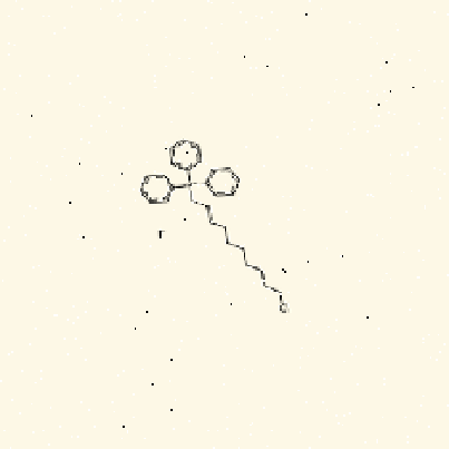 ClCCCCCCCC=CC[P+](c1ccccc1)(c1ccccc1)c1ccccc1.[I-]